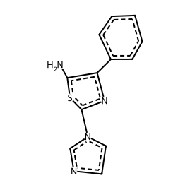 Nc1sc(-n2ccnc2)nc1-c1ccccc1